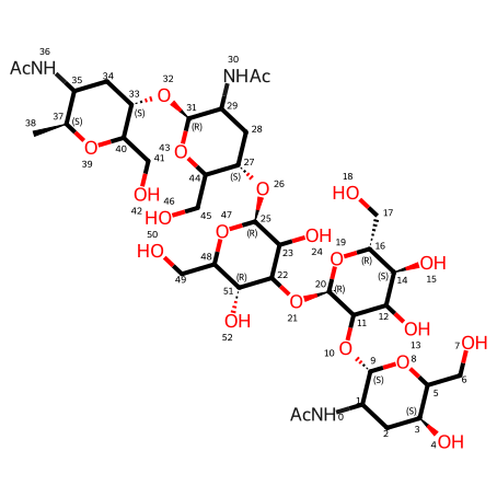 CC(=O)NC1C[C@H](O)C(CO)O[C@H]1OC1C(O)[C@H](O)[C@@H](CO)O[C@@H]1OC1C(O)[C@H](O[C@H]2CC(NC(C)=O)[C@H](O[C@H]3CC(NC(C)=O)[C@H](C)OC3CO)OC2CO)OC(CO)[C@H]1O